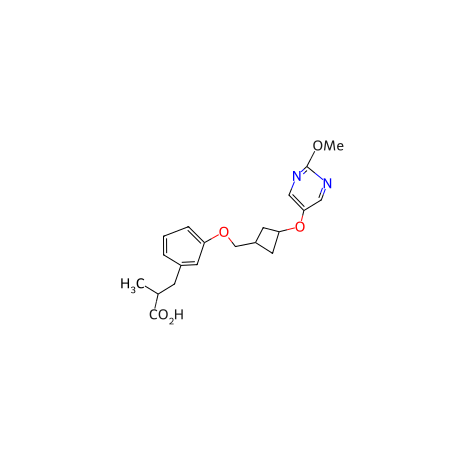 COc1ncc(OC2CC(COc3cccc(CC(C)C(=O)O)c3)C2)cn1